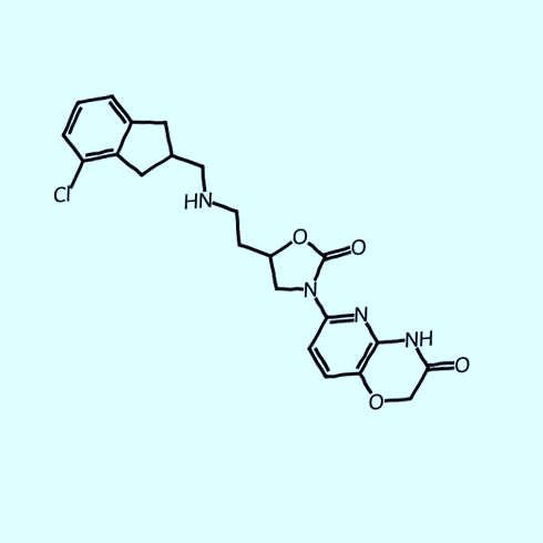 O=C1COc2ccc(N3CC(CCNCC4Cc5cccc(Cl)c5C4)OC3=O)nc2N1